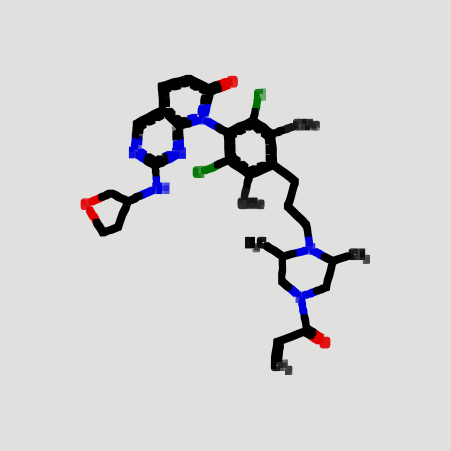 C=CC(=O)N1CC(C)N(CCCc2c(OC)c(Cl)c(-n3c(=O)ccc4cnc(NC5CCOC5)nc43)c(Cl)c2OC)C(C)C1